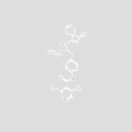 CCOC(=O)[C@H](Cc1ccc(NC(=O)c2c(Cl)cncc2Cl)cc1)NC1=CC(=O)C12CC=CC2